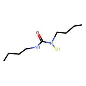 CCCCNC(=O)N(S)CCCC